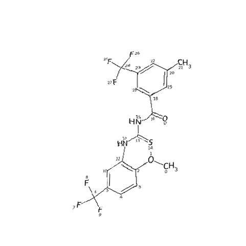 COc1ccc(C(F)(F)F)cc1NC(=S)NC(=O)c1cc(C)cc(C(F)(F)F)c1